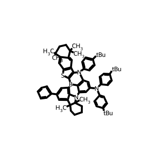 CC(C)(C)c1ccc(N(c2ccc(C(C)(C)C)cc2)c2cc3c4c(c2)N2c5c(cc(-c6ccccc6)cc5C5(C)CCCCC25C)B4c2sc4cc5c(cc4c2N3c2ccc(C(C)(C)C)cc2)C(C)(C)CCC5(C)C)cc1